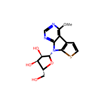 COc1ncnc2c1c1ccsc1n2[C@@H]1O[C@H](CO)[C@@H](O)[C@H]1O